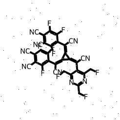 N#CC(=C1C(=C(\C#N)c2c(CF)nc(CF)nc2CF)/C1=C(\C#N)c1c(F)c(F)c(C#N)c(C#N)c1F)c1c(F)c(F)c(C#N)c(C#N)c1F